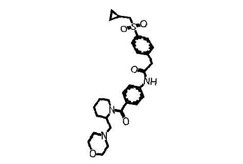 O=C(Cc1ccc(S(=O)(=O)CC2CC2)cc1)Nc1ccc(C(=O)N2CCCCC2CN2CCOCC2)cc1